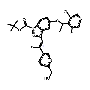 CC(Oc1ccc2c(c1)c(/C=C(\F)c1ccc(CO)nc1)nn2C(=O)OC(C)(C)C)c1c(Cl)cncc1Cl